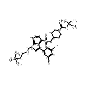 CC(C)(C)OC(=O)N1CCC(CS(=O)(=O)c2ccnc3c2c(-c2cc(F)cc(F)c2)cn3COCC[Si](C)(C)C)CC1